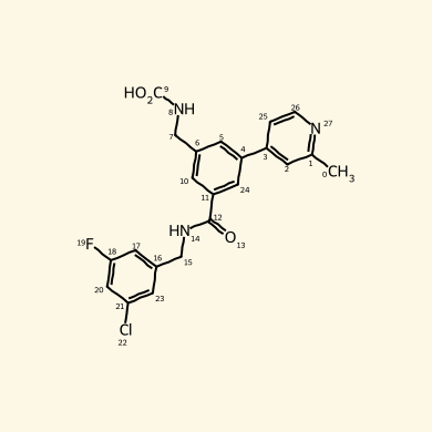 Cc1cc(-c2cc(CNC(=O)O)cc(C(=O)NCc3cc(F)cc(Cl)c3)c2)ccn1